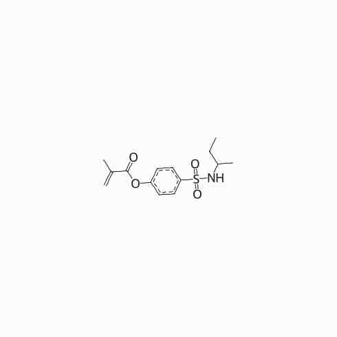 C=C(C)C(=O)Oc1ccc(S(=O)(=O)NC(C)CC)cc1